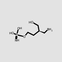 BC[C@H](CO)CCOP(=N)(O)O